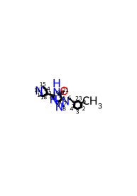 Cc1cccc(Cn2cnc3nc(-c4ccncc4)[nH]c(=O)c32)c1